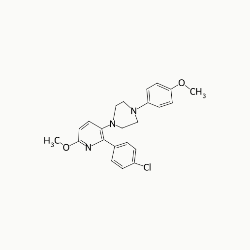 COc1ccc(N2CCN(c3ccc(OC)nc3-c3ccc(Cl)cc3)CC2)cc1